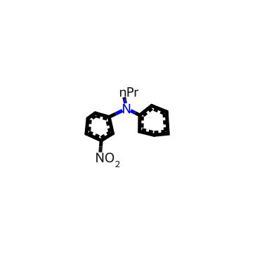 CCCN(c1ccccc1)c1cccc([N+](=O)[O-])c1